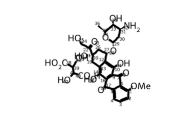 COc1cccc2c1C(=O)c1c(O)c3c(c(O)c1C2=O)C[C@@](O)(C(=O)CO)C[C@@H]3O[C@H]1C[C@H](N)[C@H](O)[C@H](C)O1.O=C(O)C(O)C(O)C(=O)O